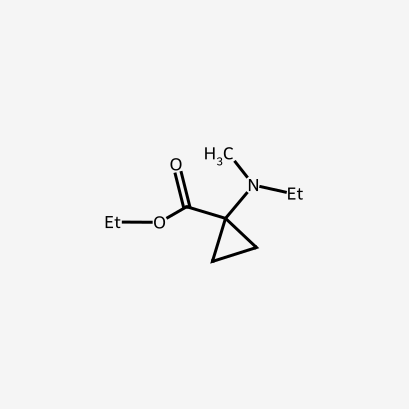 CCOC(=O)C1(N(C)CC)CC1